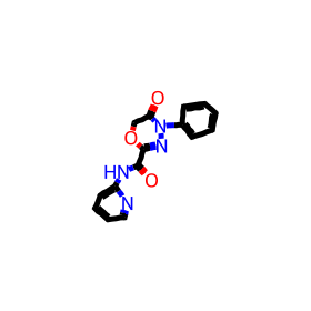 O=C(Nc1ccccn1)C1=NN(c2ccccc2)C(=O)CO1